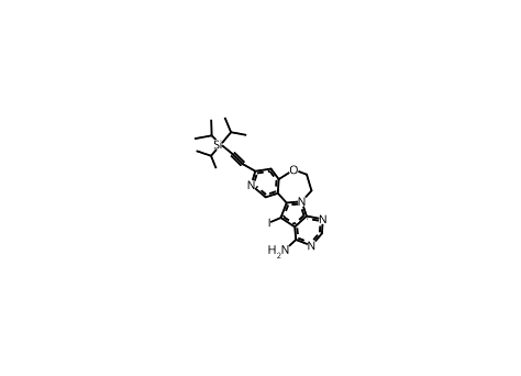 CC(C)[Si](C#Cc1cc2c(cn1)-c1c(I)c3c(N)ncnc3n1CCO2)(C(C)C)C(C)C